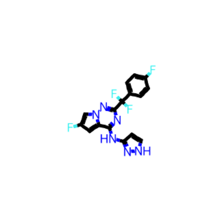 Fc1ccc(C(F)(F)c2nc(Nc3cc[nH]n3)c3cc(F)cn3n2)cc1